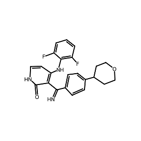 N=C(c1ccc(C2CCOCC2)cc1)c1c(Nc2c(F)cccc2F)cc[nH]c1=O